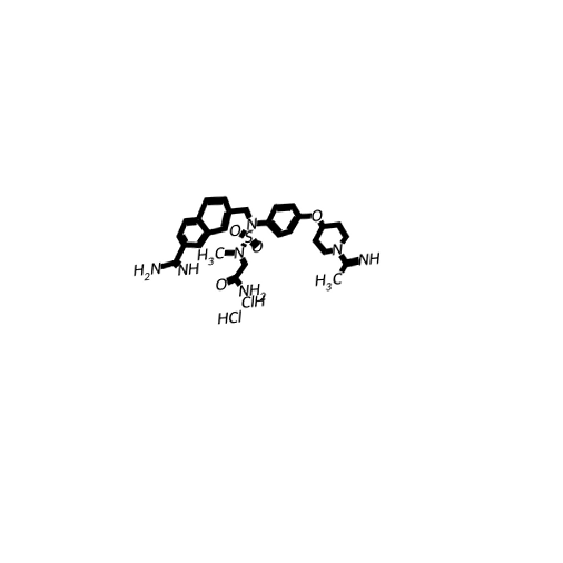 CC(=N)N1CCC(Oc2ccc(N(Cc3ccc4ccc(C(=N)N)cc4c3)S(=O)(=O)N(C)CC(N)=O)cc2)CC1.Cl.Cl